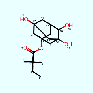 CCC(C)(C)C(=O)OC12CC3CC(O)(C1)CC(O)(C2)C3O